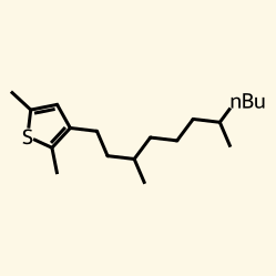 CCCCC(C)CCCC(C)CCc1cc(C)sc1C